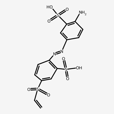 C=CS(=O)(=O)c1ccc(/N=N/c2ccc(N)c(S(=O)(=O)O)c2)c(S(=O)(=O)O)c1